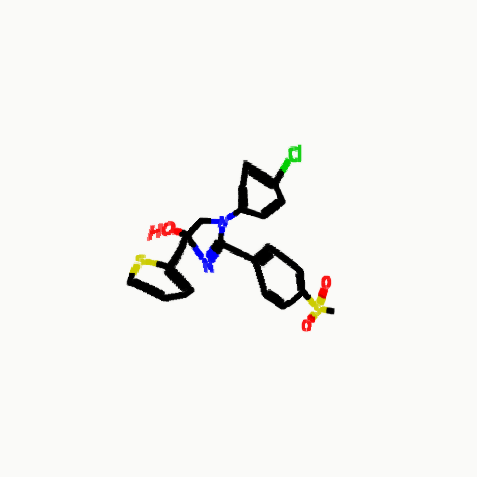 CS(=O)(=O)c1ccc(C2=NC(O)(c3cccs3)CN2c2ccc(Cl)cc2)cc1